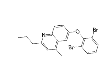 CCCc1cc(C)c2cc(Oc3c(Br)cccc3Br)ccc2n1